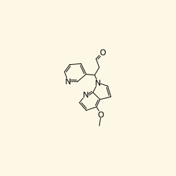 COc1ccnc2c1ccn2C(CC=O)c1cccnc1